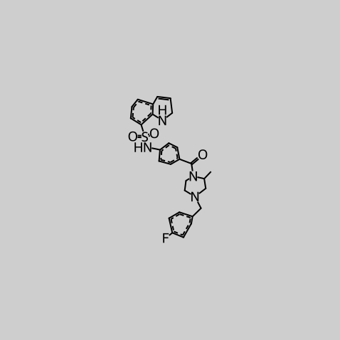 CC1CN(Cc2ccc(F)cc2)CCN1C(=O)c1ccc(NS(=O)(=O)c2cccc3c2NCC=C3)cc1